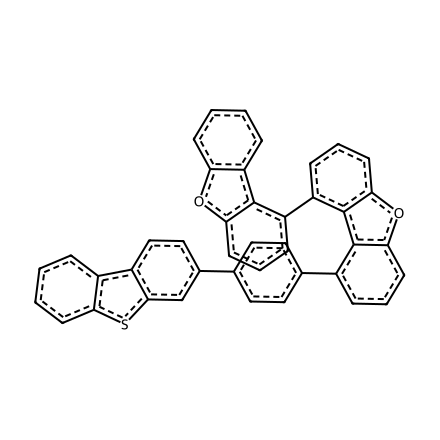 c1ccc2c(c1)oc1cccc(-c3cccc4oc5cccc(-c6ccc(-c7ccc8c(c7)sc7ccccc78)cc6)c5c34)c12